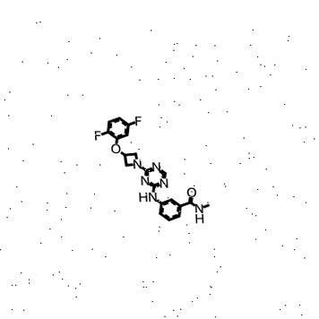 CNC(=O)c1cccc(Nc2ncnc(N3CC(Oc4cc(F)ccc4F)C3)n2)c1